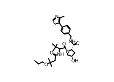 CCCOC(C)(C)CC(=O)NC(C(=O)N1C[C@H](O)C[C@H]1C(=O)NCc1ccc(-c2scnc2C)cc1)C(C)(C)C